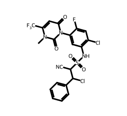 Cn1c(C(F)(F)F)cc(=O)n(-c2cc(NS(=O)(=O)C(C#N)C(Cl)c3ccccc3)c(Cl)cc2F)c1=O